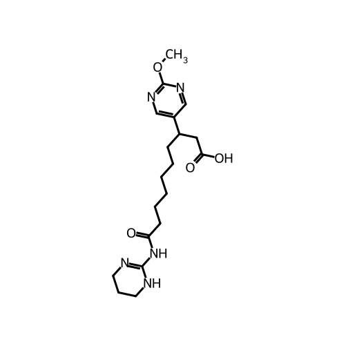 COc1ncc(C(CCCCCCC(=O)NC2=NCCCN2)CC(=O)O)cn1